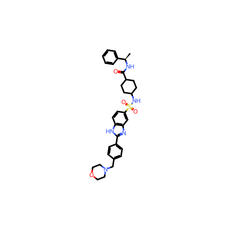 C[C@@H](NC(=O)C1CCC(NS(=O)(=O)c2ccc3[nH]c(-c4ccc(CN5CCOCC5)cc4)nc3c2)CC1)c1ccccc1